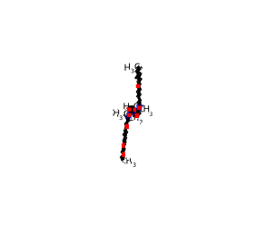 CCCCCCCCCCCCCCCC[N+](C)(C)c1cccc2c([N+](C)(C)CCCCCCCCCCCCCCCC)cccc12